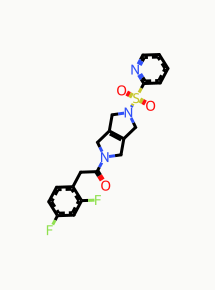 O=C(Cc1ccc(F)cc1F)N1CC2=C(C1)CN(S(=O)(=O)c1ccccn1)C2